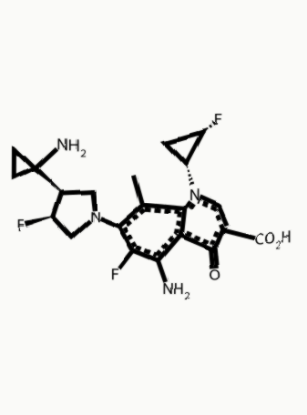 Cc1c(N2C[C@@H](F)[C@@H](C3(N)CC3)C2)c(F)c(N)c2c(=O)c(C(=O)O)cn([C@@H]3C[C@@H]3F)c12